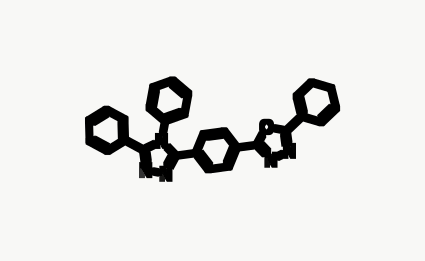 C1=CC(c2nnc(-c3ccc(-c4nnc(-c5ccccc5)n4-c4ccccc4)cc3)o2)=CCC1